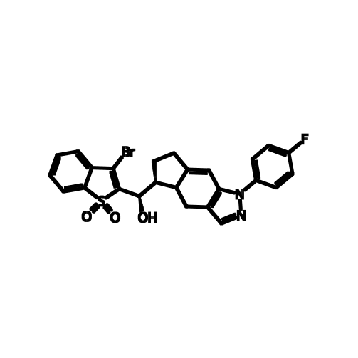 O=S1(=O)C([C@H](O)[C@H]2CCC3=Cc4c(cnn4-c4ccc(F)cc4)CC32)=C(Br)c2ccccc21